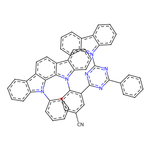 N#Cc1ccc(-n2c3ccccc3c3ccc4c5ccccc5n(-c5ccccc5)c4c32)c(-c2nc(-c3ccccc3)nc(-n3c4ccccc4c4ccccc43)n2)c1